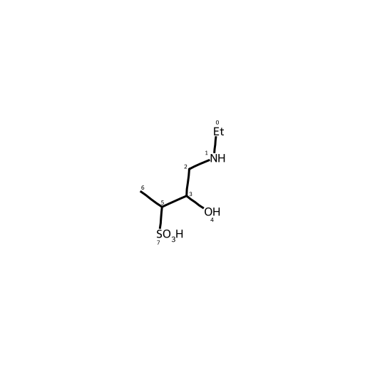 CCNCC(O)C(C)S(=O)(=O)O